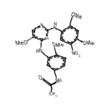 COc1cc(OC)c([N+](=O)[O-])cc1Nc1ncc(OC)c(Nc2cc(NC(=O)C(F)(F)F)ccc2OC)n1